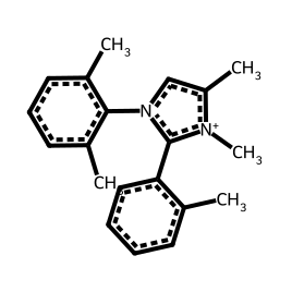 Cc1ccccc1-c1n(-c2c(C)cccc2C)cc(C)[n+]1C